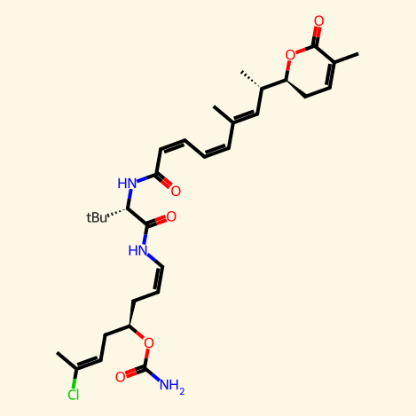 CC1=CC[C@@H]([C@@H](C)/C=C(C)/C=C\C=C/C(=O)N[C@H](C(=O)N/C=C\C[C@H](C/C=C(\C)Cl)OC(N)=O)C(C)(C)C)OC1=O